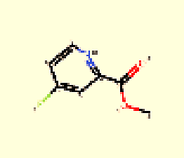 COC(=O)c1cc(F)[c]cn1